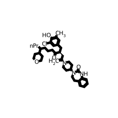 C=C(C[C@H](Cc1cc(C)c(O)c(Cl)c1)C(=O)CCCC(CCC)C1CCOCC1)N1CCC(N2CCc3ccccc3NC2=O)CC1